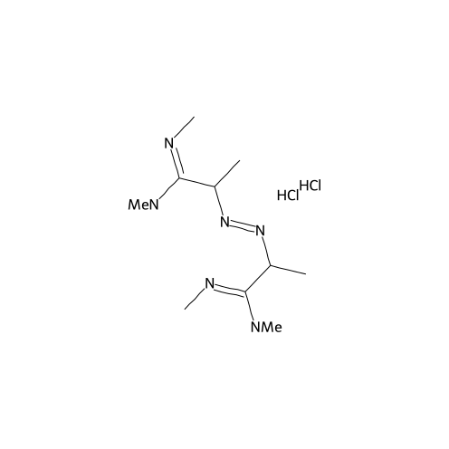 CN=C(NC)C(C)N=NC(C)C(=NC)NC.Cl.Cl